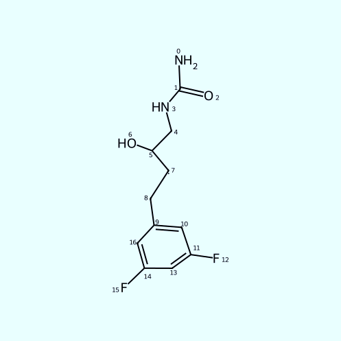 NC(=O)NCC(O)[CH]Cc1cc(F)cc(F)c1